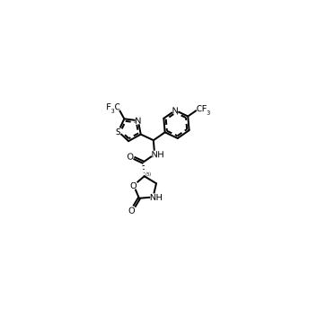 O=C1NC[C@@H](C(=O)NC(c2ccc(C(F)(F)F)nc2)c2csc(C(F)(F)F)n2)O1